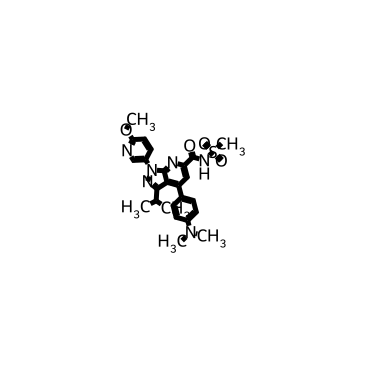 COc1ccc(-n2nc(C(C)C)c3c(-c4ccc(N(C)C)cc4)cc(C(=O)NS(C)(=O)=O)nc32)cn1